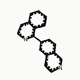 [c]1ccc2c(-c3ccc4cnccc4c3)nccc2c1